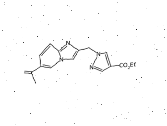 C=C(C)c1ccc2nc(Cn3cc(C(=O)OCC)cn3)cn2c1